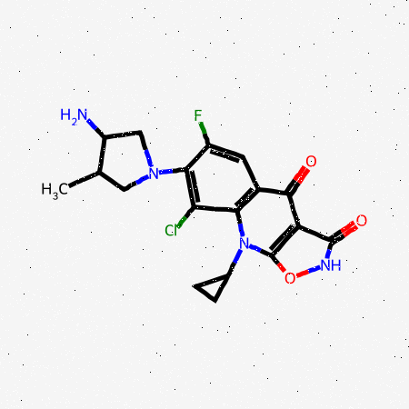 CC1CN(c2c(F)cc3c(=O)c4c(=O)[nH]oc4n(C4CC4)c3c2Cl)CC1N